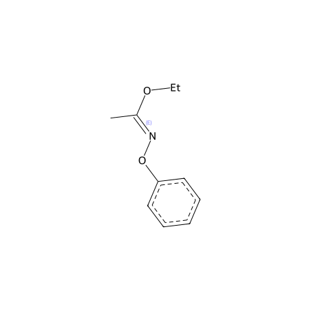 CCO/C(C)=N/Oc1ccccc1